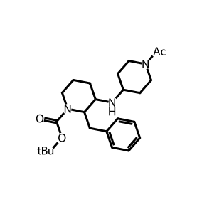 CC(=O)N1CCC(NC2CCCN(C(=O)OC(C)(C)C)C2Cc2ccccc2)CC1